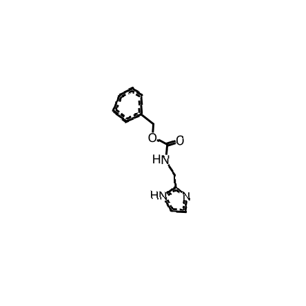 O=C(NCc1ncc[nH]1)OCc1ccccc1